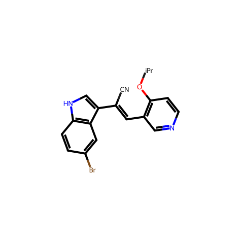 CC(C)Oc1ccncc1C=C(C#N)c1c[nH]c2ccc(Br)cc12